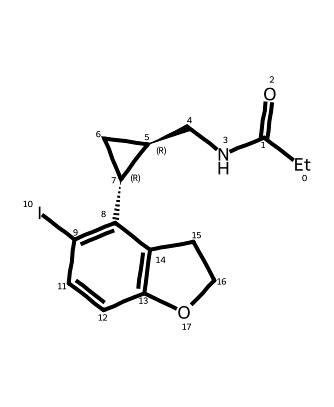 CCC(=O)NC[C@@H]1C[C@H]1c1c(I)ccc2c1CCO2